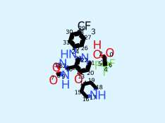 O=C(O)C(F)(F)F.O=c1[nH]c(-c2c(OC3CCNCC3)ccnc2Nc2ccc(C(F)(F)F)cc2)no1